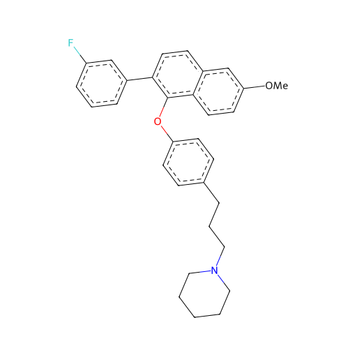 COc1ccc2c(Oc3ccc(CCCN4CCCCC4)cc3)c(-c3cccc(F)c3)ccc2c1